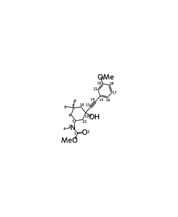 COC(=O)N(C)C1CC(C)(C)CC(O)(C#Cc2cccc(OC)c2)C1